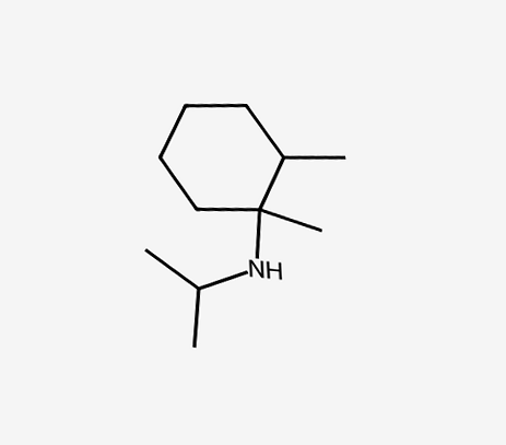 CC(C)NC1(C)CCCCC1C